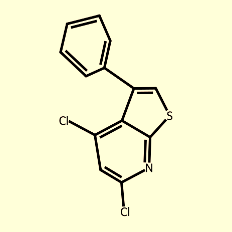 Clc1cc(Cl)c2c(-c3ccccc3)csc2n1